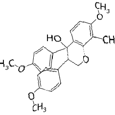 COc1ccc(C2COc3c(ccc(OC)c3C)C2(O)c2ccc(OC)cc2)cc1